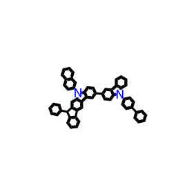 c1ccc(-c2ccc(-n3c4ccccc4c4cc(-c5ccc6c(c5)c5cc7c(cc5n6-c5ccc6ccccc6c5)C(c5ccccc5)c5ccccc5-7)ccc43)cc2)cc1